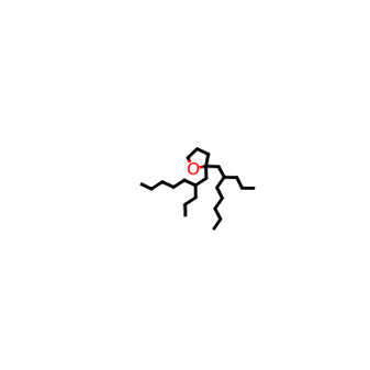 CCCCCC(CCC)CC1(CC(CCC)CCCCC)CCCO1